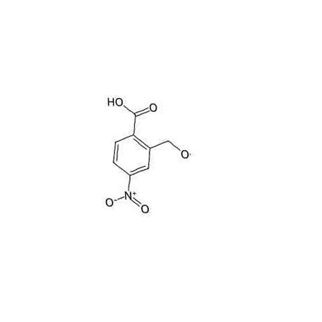 [O]Cc1cc([N+](=O)[O-])ccc1C(=O)O